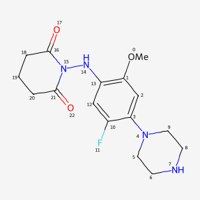 COc1cc(N2CCNCC2)c(F)cc1NN1C(=O)CCCC1=O